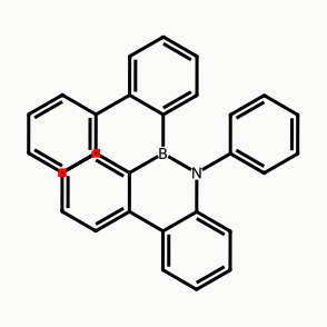 c1ccc(-c2ccccc2B2c3ccccc3-c3ccccc3N2c2ccccc2)cc1